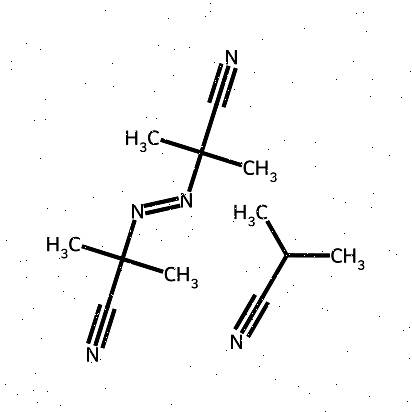 CC(C)(C#N)N=NC(C)(C)C#N.CC(C)C#N